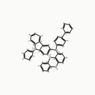 c1ccc(-c2ccc(N(c3ccc4c(c3)c3ccccc3n4-c3ccccc3)c3cccc4c3Oc3ccccc3O4)cc2)cc1